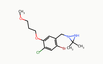 COCCCOc1cc(CN2NC2(C)C)c(Br)cc1Cl